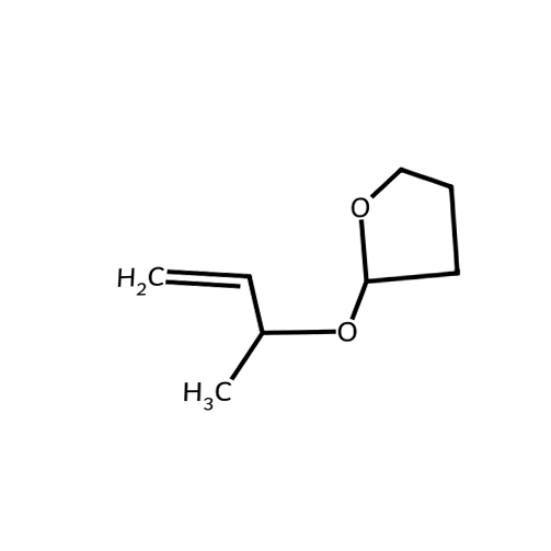 C=CC(C)OC1CCCO1